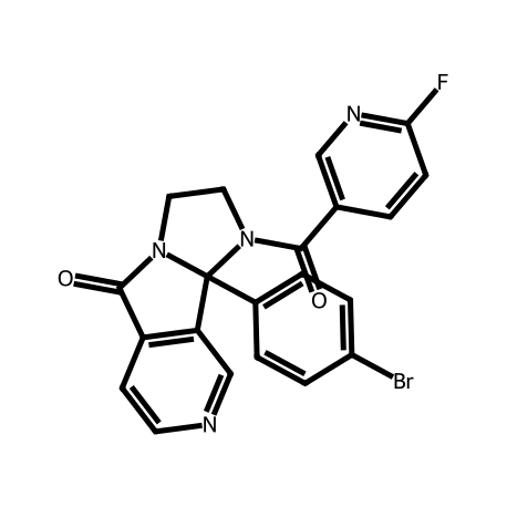 O=C(c1ccc(F)nc1)N1CCN2C(=O)c3ccncc3C12c1ccc(Br)cc1